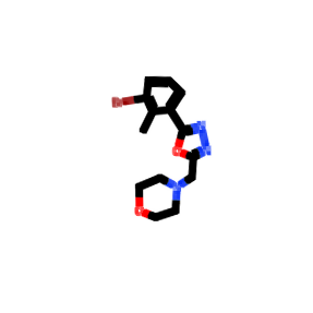 Cc1c(Br)cccc1-c1nnc(CN2CCOCC2)o1